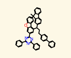 CC1(C)c2ccccc2-c2ccc(C(CCc3ccc(-c4ccccc4)cc3)c3cc(-c4nc(-c5ccccc5)nc(-c5ccccc5)n4)cc4oc5ccccc5c34)cc21